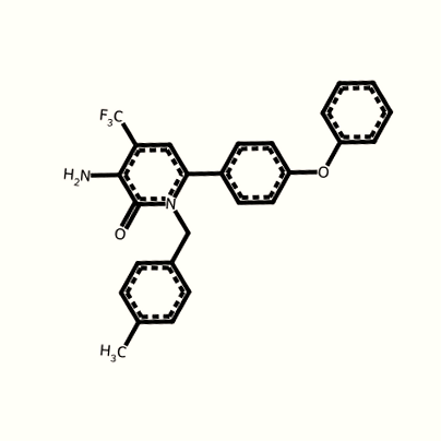 Cc1ccc(Cn2c(-c3ccc(Oc4ccccc4)cc3)cc(C(F)(F)F)c(N)c2=O)cc1